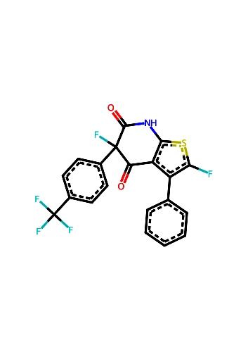 O=C1Nc2sc(F)c(-c3ccccc3)c2C(=O)C1(F)c1ccc(C(F)(F)F)cc1